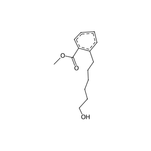 COC(=O)c1ccccc1CCCCCCO